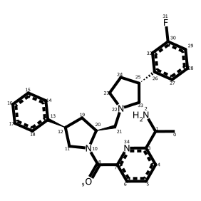 CC(N)c1cccc(C(=O)N2C[C@@H](c3ccccc3)C[C@H]2CN2CC[C@H](c3cccc(F)c3)C2)n1